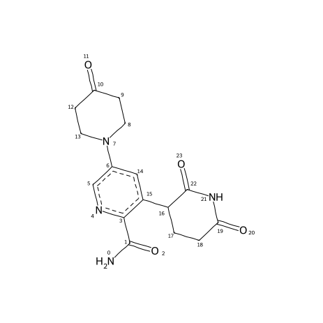 NC(=O)c1ncc(N2CCC(=O)CC2)cc1C1CCC(=O)NC1=O